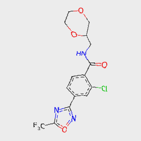 O=C(NCC1COCCO1)c1ccc(-c2noc(C(F)(F)F)n2)cc1Cl